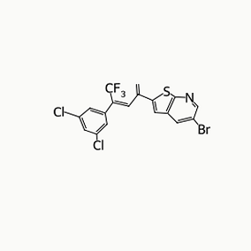 C=C(/C=C(/c1cc(Cl)cc(Cl)c1)C(F)(F)F)c1cc2cc(Br)cnc2s1